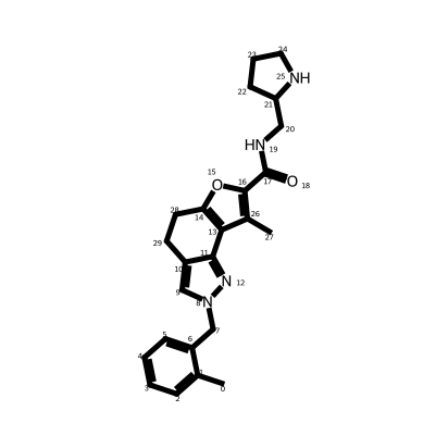 Cc1ccccc1Cn1cc2c(n1)-c1c(oc(C(=O)NCC3CCCN3)c1C)CC2